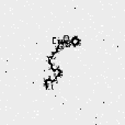 CC/C=C\C/C=C\C/C=C\C/C=C\C/C=C\CCCCOC(CC)C(=O)Oc1ccccc1